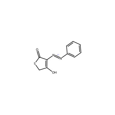 O=C1SCC(O)=C1/N=N/c1ccccc1